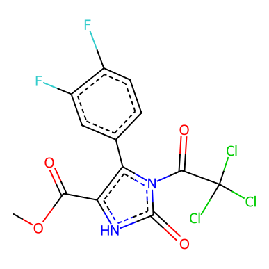 COC(=O)c1[nH]c(=O)n(C(=O)C(Cl)(Cl)Cl)c1-c1ccc(F)c(F)c1